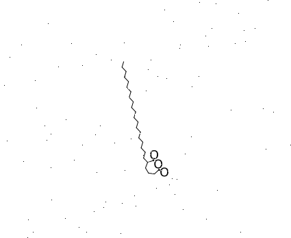 CCCCCCCCCCCCCCCCCCCCC1CCCC(=O)OC1=O